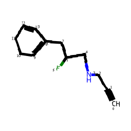 C#CCNCC(F)CC1=CCCC=C1